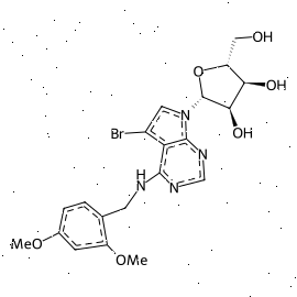 COc1ccc(CNc2ncnc3c2c(Br)cn3[C@@H]2O[C@H](CO)[C@@H](O)[C@H]2O)c(OC)c1